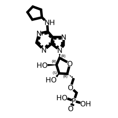 O=P(O)(O)COC[C@H]1O[C@@H](n2cnc3c(NC4CCCC4)ncnc32)[C@H](O)[C@@H]1O